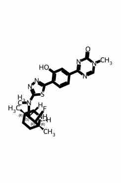 CN(c1nnc(-c2ccc(-c3ncn(C)c(=O)n3)cc2O)s1)[C@@H]1[C@@H](F)[C@@]2(C)CC[C@]1(C)CN2